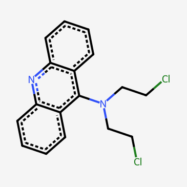 ClCCN(CCCl)c1c2ccccc2nc2ccccc12